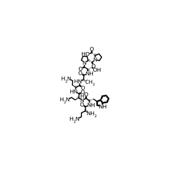 C[C@H](NC(=O)[C@H](CCN)NC(=O)[C@H](CCN)NC(=O)[C@H](Cc1c[nH]c2ccccc12)NC(=O)[C@@H](N)CCN)C(=O)N[C@@H](CO)C(=O)N1CCC[C@@H]1C(=O)N1CCC[C@H]1C(=O)O